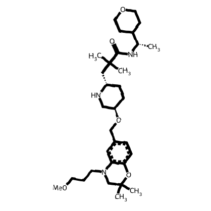 COCCCN1CC(C)(C)Oc2ccc(CO[C@@H]3CC[C@@H](CC(C)(C)C(=O)N[C@@H](C)C4CCOCC4)NC3)cc21